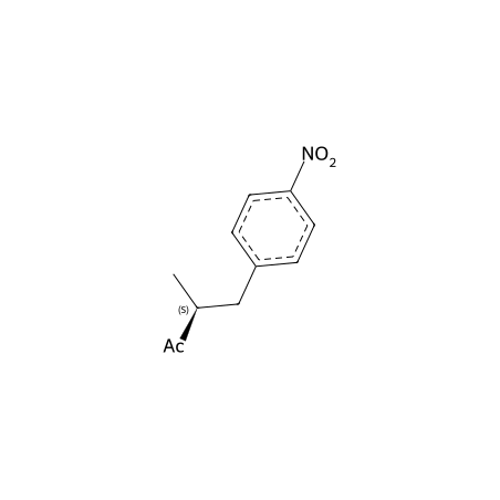 CC(=O)[C@@H](C)Cc1ccc([N+](=O)[O-])cc1